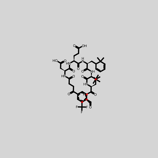 Cc1ccc(C(=O)CCC(=O)N[C@@H](CC(=O)O)C(=O)N[C@@H](CCC(=O)O)C(=O)N[C@@H](CC2C=CC=CC2(C)C)C(=O)N[C@H](C(=O)N[C@@H](CC(C)C)C(=O)NC(C=O)CC(F)(F)F)C(C)(C)C)cc1